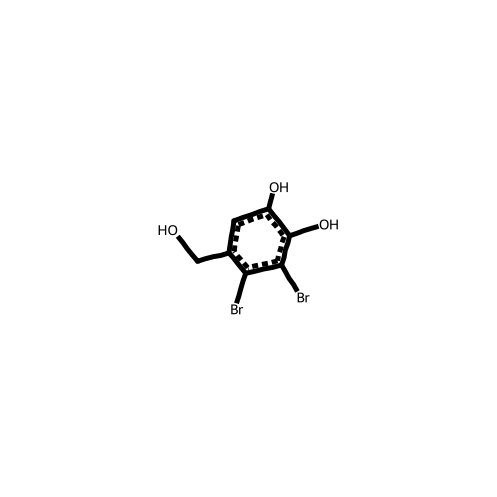 OCc1cc(O)c(O)c(Br)c1Br